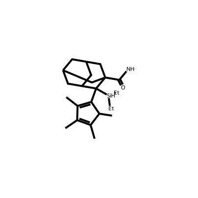 CC[SiH](CC)C1(C2=C(C)C(C)=C(C)C2C)C2CC3CC(C2)CC1(C([NH])=O)C3